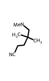 CNCC(C)(C)CCC#N